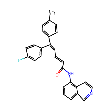 O=C(/C=C/C=C(\c1ccc(F)cc1)c1ccc(C(F)(F)F)cc1)Nc1cccc2cnccc12